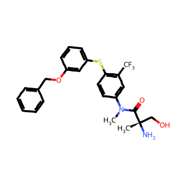 CN(C(=O)[C@@](C)(N)CO)c1ccc(Sc2cccc(OCc3ccccc3)c2)c(C(F)(F)F)c1